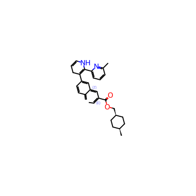 C=c1ccc(C2=C(c3cccc(C)n3)NC=CC2)c/c1=C/C(=C\C)C(=O)OC[C@H]1CC[C@@H](C)CC1